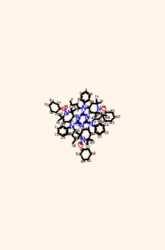 CCCC[N+](c1ccccc1)(c1nc([N+](CCCC)(c2ccccc2)C2CC(C)(C)N(OC3CCCCC3)C(C)(C)C2)nc([N+](CCCC)(c2ccccc2)C2CC(C)(C)N(OC3CCCCC3)C(C)(C)C2)n1)C1CC(C)(C)N(OC2CCCCC2)C(C)(C)C1